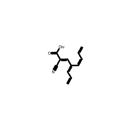 C=C\C=C/C(=C\C=C)/C=C(\C#N)C(=O)O